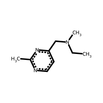 CCN(C)Cc1ccnc(C)n1